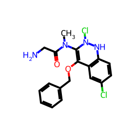 CN(C(=O)CN)C1=C(OCc2ccccc2)c2cc(Cl)ccc2NN1Cl